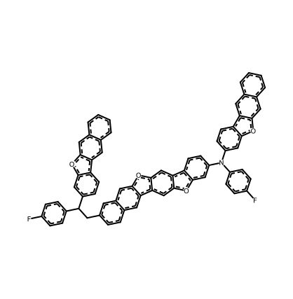 Fc1ccc(C(Cc2ccc3cc4c(cc3c2)oc2cc3c(cc24)oc2cc(N(c4ccc(F)cc4)c4ccc5c(c4)oc4cc6ccccc6cc45)ccc23)c2ccc3c(c2)oc2cc4ccccc4cc23)cc1